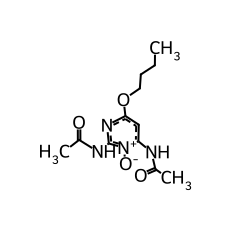 CCCCOc1cc(NC(C)=O)[n+]([O-])c(NC(C)=O)n1